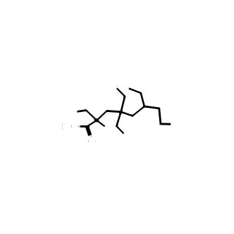 CCCC(CC)CC(CC)(CC)CC(C)(CC)C(=O)O